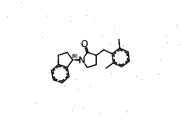 Cc1cccc(C)c1CC1CCN([C@@H]2CCc3ccccc32)C1=O